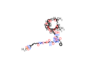 C=C1C[C@@H]2CC[C@@]34CC[C@H]5C6O[C@H]7CC[C@H](CC(=O)C[C@@H]8[C@@H](OC)[C@@H](C[C@H](O)CNC(=O)CNC(=O)[C@H](Cc9ccccc9)NC(=O)CNC(=O)CNC(=O)COCCOCCNC(=O)CCCC#Cc9cnc(S(C)(=O)=O)nc9)O[C@H]8C[C@H]8O[C@@H](CC[C@@H]1O2)C[C@@H](C)C8=C)O[C@@H]7[C@H](O3)[C@@H]6C5O4